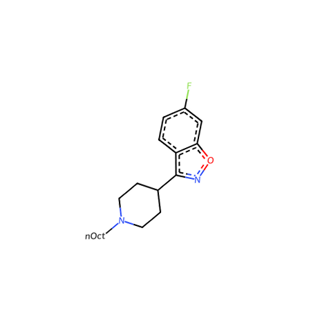 CCCCCCCCN1CCC(c2noc3cc(F)ccc23)CC1